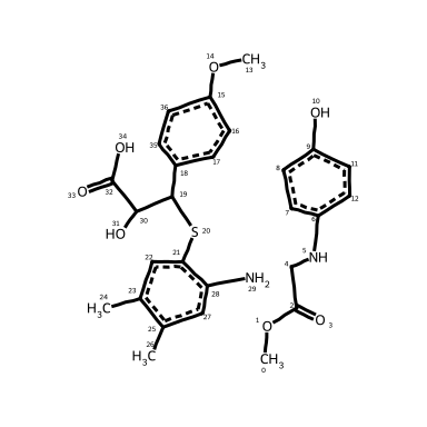 COC(=O)CNc1ccc(O)cc1.COc1ccc(C(Sc2cc(C)c(C)cc2N)C(O)C(=O)O)cc1